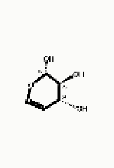 O[C@H]1[C@H](O)C=CO[C@@H]1O